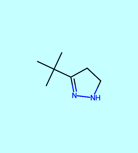 CC(C)(C)C1=NNCC1